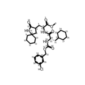 COC(=O)[C@H](CC1CC2(CCCCC2)NC1=O)NC(=O)[C@H](CC1CCCCC1)NC(=O)OCc1cccc(Cl)c1